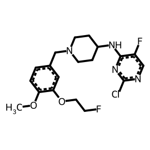 COc1ccc(CN2CCC(Nc3nc(Cl)ncc3F)CC2)cc1OCCF